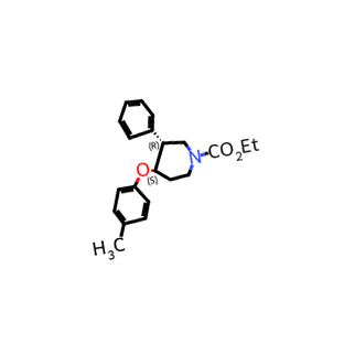 CCOC(=O)N1CC[C@H](Oc2ccc(C)cc2)[C@H](c2ccccc2)C1